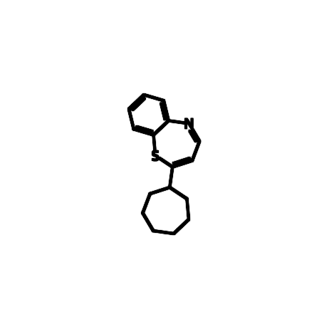 C1=Nc2ccccc2SC(C2CCCCCC2)=C1